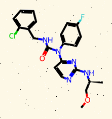 COC[C@H](C)Nc1nccc(N(C(=O)NCc2ccccc2Cl)c2ccc(F)cc2)n1